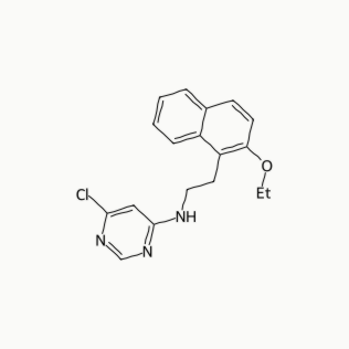 CCOc1ccc2ccccc2c1CCNc1cc(Cl)ncn1